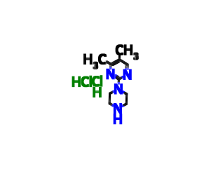 Cc1cnc(N2CCNCC2)nc1C.Cl.Cl